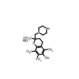 Cc1c(C)c2c(c(C)c1O)CCC(C)(CN1CCNCC1)O2.Cl.Cl